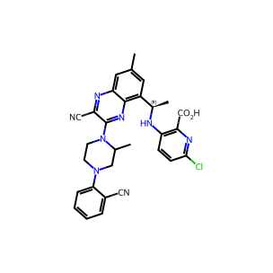 Cc1cc([C@@H](C)Nc2ccc(Cl)nc2C(=O)O)c2nc(N3CCN(c4ccccc4C#N)CC3C)c(C#N)nc2c1